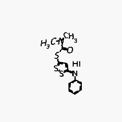 CN(C)C(=O)Sc1c/c(=N/c2ccccc2)ss1.I